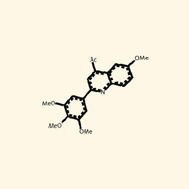 COc1ccc2nc(-c3cc(OC)c(OC)c(OC)c3)cc(C(C)=O)c2c1